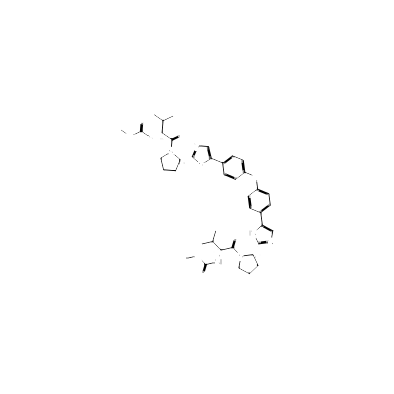 COC(=O)N[C@@H](C(=O)N1CCC[C@H]1c1ncc(-c2ccc(Oc3ccc(-c4cnc([C@@H]5CCCN5C(=O)[C@@H](NC(=O)OCl)C(C)C)[nH]4)cc3)cc2)[nH]1)C(C)C